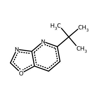 CC(C)(C)c1ccc2ocnc2n1